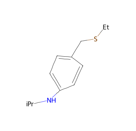 CCSCc1ccc(NC(C)C)cc1